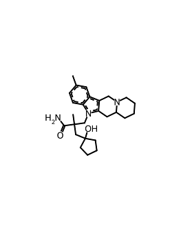 Cc1ccc2c(c1)c1c(n2CC(C)(CC2(O)CCCC2)C(N)=O)CC2CCCCN2C1